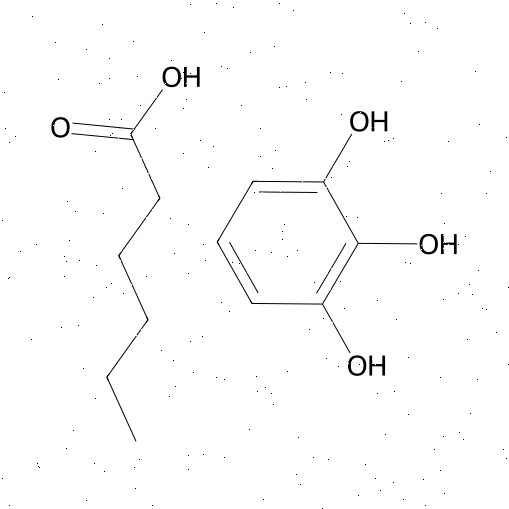 CCCCCC(=O)O.Oc1cccc(O)c1O